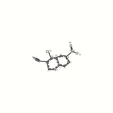 N#Cc1cnc2ccc([N+](=O)[O-])cc2c1Cl